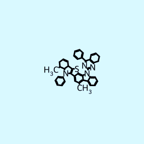 Cc1cc2c3c(sc2c2c1c1ccccc1n2-c1nc2c(c(-c4ccccc4)n1)C=CCC2)C1C=CCC(C)C1N3c1ccccc1